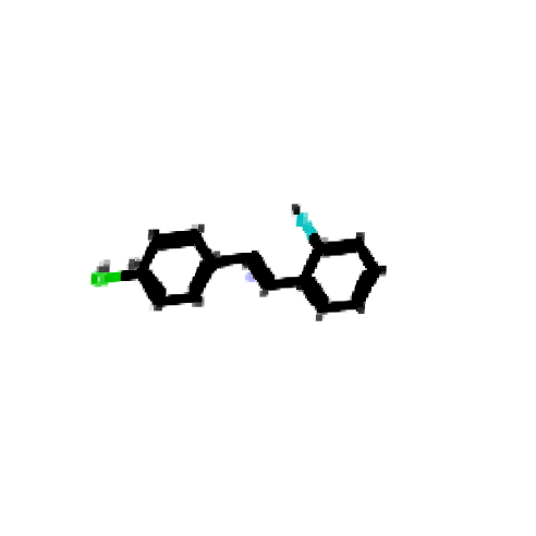 Fc1ccccc1/C=C/c1ccc(Cl)cc1